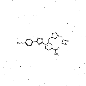 COc1ccc(-c2noc(N3CCC(C(N)=O)CC3CC3CCN(C[C@H]4CCN4)C3)n2)cc1